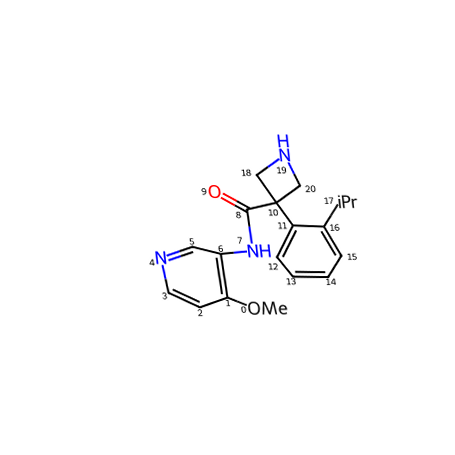 COc1ccncc1NC(=O)C1(c2ccccc2C(C)C)CNC1